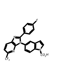 O=C(O)n1ccc2cc(-n3c(-c4ccc(F)cc4)nc4ccc(C(F)(F)F)nc43)ccc21